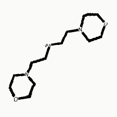 C1CN(CC[As]CCN2CCOCC2)CCO1